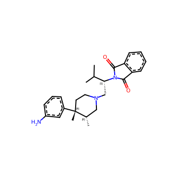 CC(C)[C@@H](CN1CC[C@@](C)(c2cccc(N)c2)[C@@H](C)C1)N1C(=O)c2ccccc2C1=O